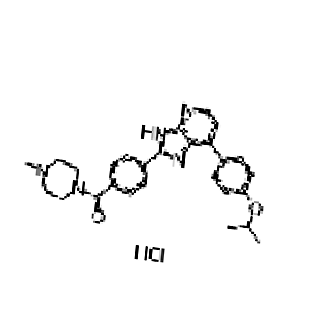 CC(C)Oc1ccc(-c2ccnc3[nH]c(-c4ccc(C(=O)N5CCN(C)CC5)cc4)nc23)cc1.Cl